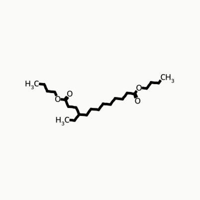 CCCCOC(=O)CCCCCCCCC(CC)CCC(=O)OCCCC